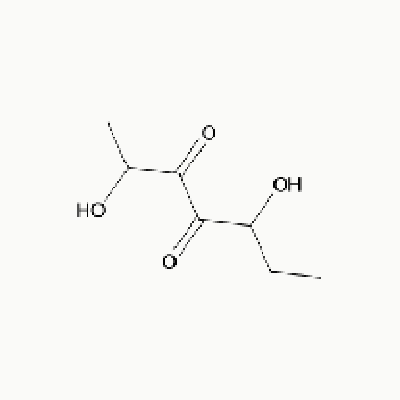 CCC(O)C(=O)C(=O)C(C)O